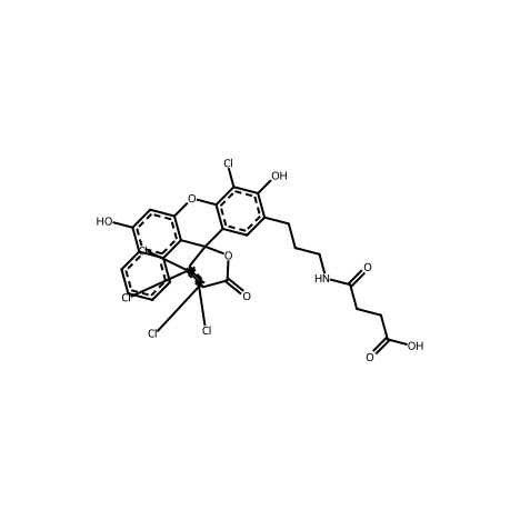 O=C(O)CCC(=O)NCCCc1cc2c(c(Cl)c1O)Oc1cc(O)c3ccccc3c1C21OC(=O)c2c(Cl)c(Cl)c(Cl)c(Cl)c21